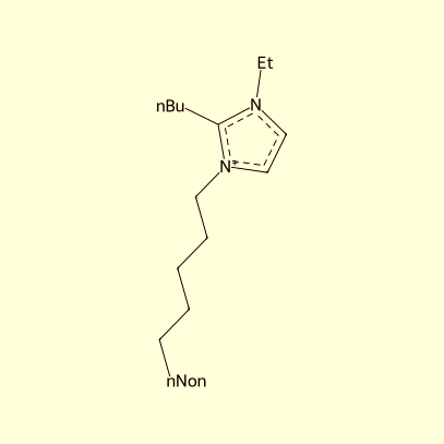 CCCCCCCCCCCCCC[n+]1ccn(CC)c1CCCC